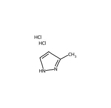 Cc1cc[nH]n1.Cl.Cl